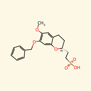 COc1cc2c(cc1OCc1ccccc1)O[C@@H](CCS(=O)(=O)O)CC2